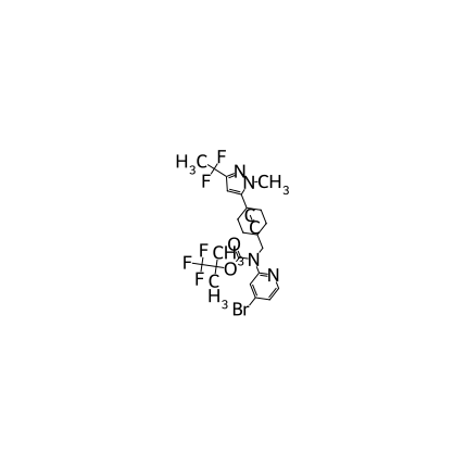 Cn1nc(C(C)(F)F)cc1C12CCC(CN(C(=O)OC(C)(C)C(F)(F)F)c3cc(Br)ccn3)(CC1)CC2